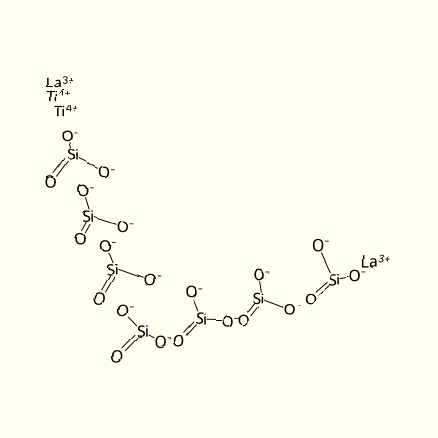 O=[Si]([O-])[O-].O=[Si]([O-])[O-].O=[Si]([O-])[O-].O=[Si]([O-])[O-].O=[Si]([O-])[O-].O=[Si]([O-])[O-].O=[Si]([O-])[O-].[La+3].[La+3].[Ti+4].[Ti+4]